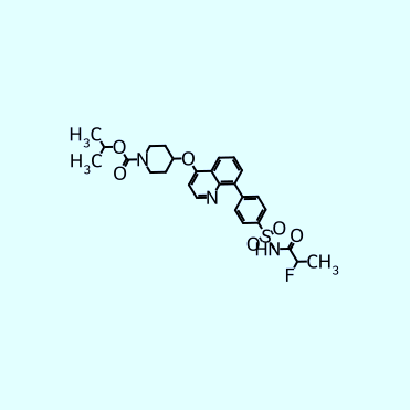 CC(C)OC(=O)N1CCC(Oc2ccnc3c(-c4ccc(S(=O)(=O)NC(=O)C(C)F)cc4)cccc23)CC1